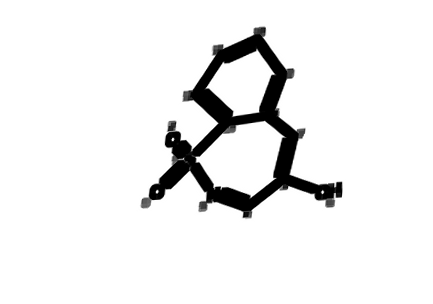 O=S1(=O)N=CC(O)=Cc2ccccc21